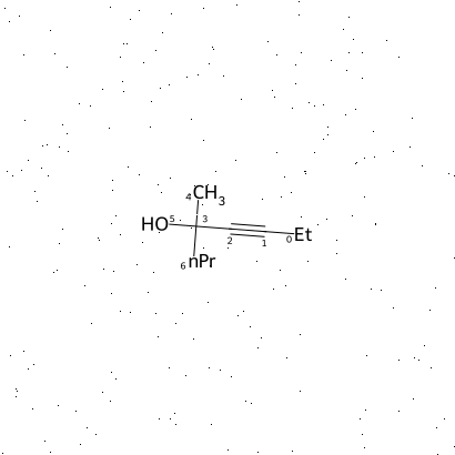 CCC#CC(C)(O)CCC